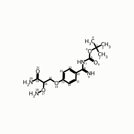 CC(C)(C)OC(=O)NC(=N)c1ccc(OCC(ON)C(N)=O)cc1